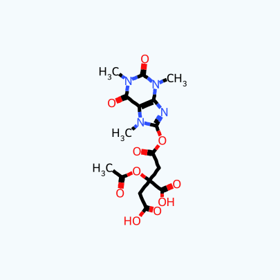 CC(=O)OC(CC(=O)O)(CC(=O)Oc1nc2c(c(=O)n(C)c(=O)n2C)n1C)C(=O)O